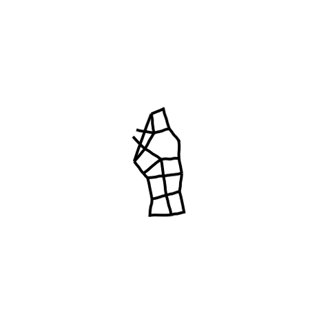 CC12C3CC1C1C4C5C6CC7CC8C9C(C3)C4(C12C)C95C786